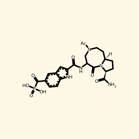 CC(=O)N1CC[C@H]2CC[C@@H](C(N)=O)N2C(=O)C(NC(=O)c2cc3cc(C(=O)P(=O)(O)O)ccc3[nH]2)C1